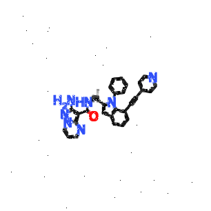 C[C@@H](NC(=O)c1c(N)nn2cccnc12)c1cc2cccc(C#Cc3ccncc3)c2n1-c1ccccc1